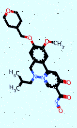 COc1cc2c(cc1OCC1CCOCC1)CN(CC(C)C)n1cc(C(=O)N=O)c(=O)cc1-2